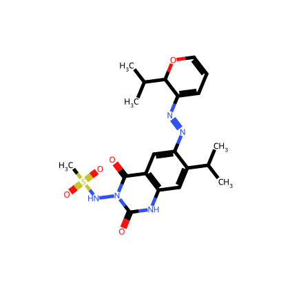 CC(C)c1cc2[nH]c(=O)n(NS(C)(=O)=O)c(=O)c2cc1N=NC1=CC=COC1C(C)C